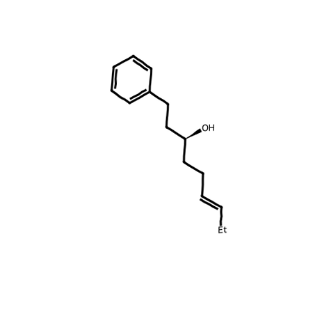 CCC=CCC[C@H](O)CCc1ccccc1